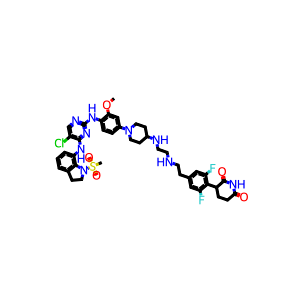 COc1cc(N2CCC(NCCNCCc3cc(F)c(C4CCC(=O)NC4=O)c(F)c3)CC2)ccc1Nc1ncc(Cl)c(Nc2cccc3c2N(S(C)(=O)=O)CC3)n1